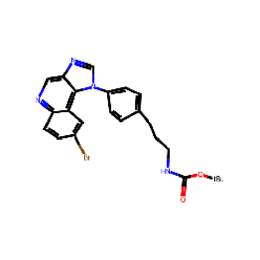 CC(C)(C)OC(=O)NCCCc1ccc(-n2cnc3cnc4ccc(Br)cc4c32)cc1